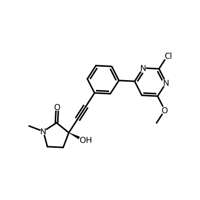 COc1cc(-c2cccc(C#C[C@]3(O)CCN(C)C3=O)c2)nc(Cl)n1